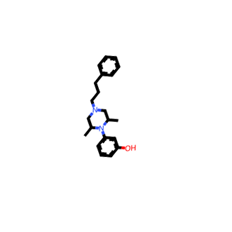 CC1CN(CCCc2ccccc2)CC(C)N1c1cccc(O)c1